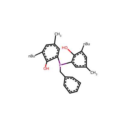 CCCCc1cc(C)cc(P(Cc2ccccc2)c2cc(C)cc(CCCC)c2O)c1O